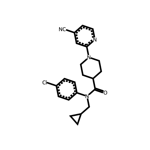 N#Cc1ccnc(N2CCC(C(=O)N(CC3CC3)c3ccc(Cl)cc3)CC2)c1